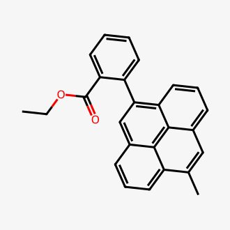 CCOC(=O)c1ccccc1-c1cc2cccc3c(C)cc4cccc1c4c23